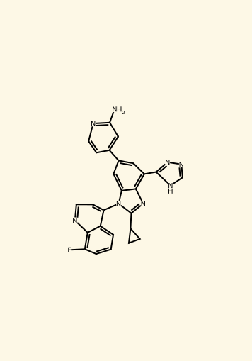 Nc1cc(-c2cc(-c3nnc[nH]3)c3nc(C4CC4)n(-c4ccnc5c(F)cccc45)c3c2)ccn1